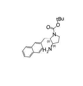 CC(C)(C)OC(=O)N1CC[C@@H](N)[C@@H]1Cc1ccc2ccccc2c1